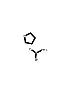 C1CCNC1.O=C(O)N(S)S